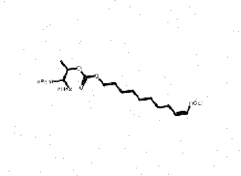 CCCCCCCC/C=C\CCCCCCCCOC(=O)OC(C)C(CCCCC)CCCCCC